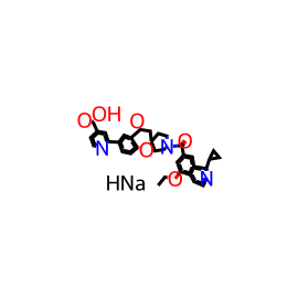 CCOc1cc(C(=O)N2CCC3(CC2)CC(=O)c2cc(-c4cc(C(=O)O)ccn4)ccc2O3)cc2c(C3CC3)nccc12.[NaH]